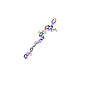 Cc1cc(N2CCOCC2)c2cccc(OCc3c(Cl)ccc(-n4cccc4CNC(=O)/C=C/c4ccc(C(=O)NCc5ccccn5)cc4)c3Cl)c2n1